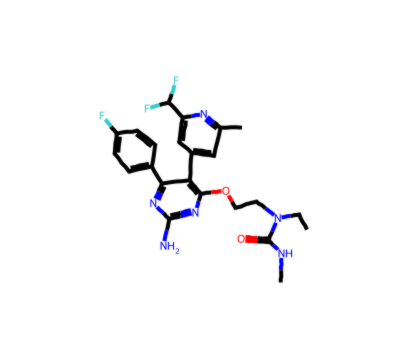 CCN(CCOc1nc(N)nc(-c2ccc(F)cc2)c1-c1cc(C)nc(C(F)F)c1)C(=O)NC